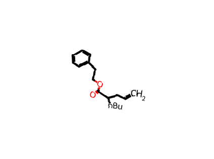 C=CCC(CCCC)C(=O)OCCc1ccccc1